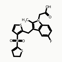 Cc1c(Cc2sccc2S(=O)(=O)C2=CCCS2)c2cc(F)ccc2n1CC(=O)O